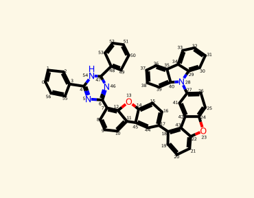 c1ccc(C2=NC(c3cccc4c3oc3ccc(-c5cccc6oc7ccc(-n8c9ccccc9c9ccccc98)cc7c56)cc34)=NC(c3ccccc3)N2)cc1